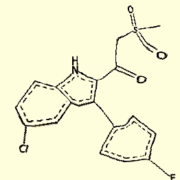 CS(=O)(=O)CC(=O)c1[nH]c2ccc(Cl)cc2c1-c1ccc(F)cc1